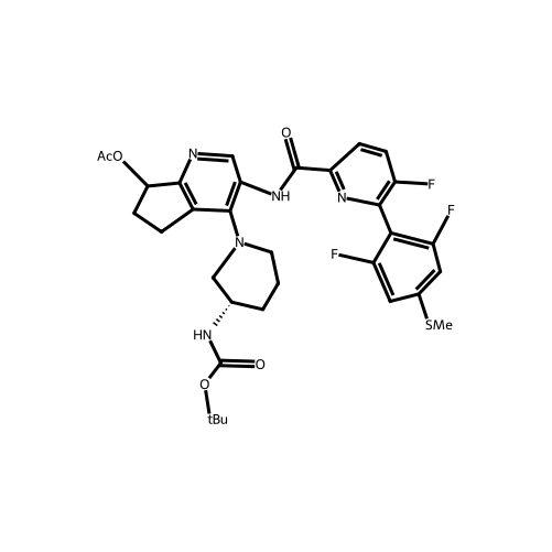 CSc1cc(F)c(-c2nc(C(=O)Nc3cnc4c(c3N3CCC[C@H](NC(=O)OC(C)(C)C)C3)CCC4OC(C)=O)ccc2F)c(F)c1